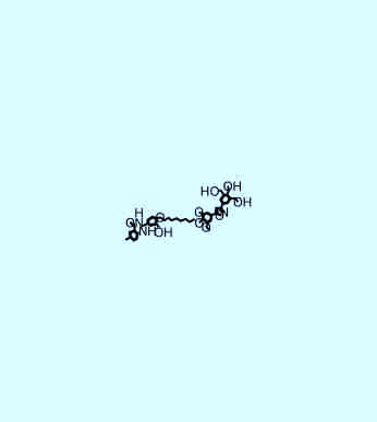 COc1cc(-c2cc(-c3cc(CO)c(CO)c(CO)c3)no2)cc(OC)c1OCCCCCCCCOc1ccc(C2NC(=O)c3cc(C)ccc3N2)cc1CO